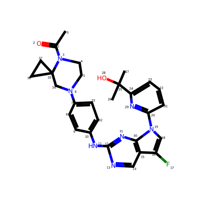 CC(=O)N1CCN(c2ccc(Nc3ncc4c(F)cn(-c5cccc(C(C)(C)O)n5)c4n3)cc2)CC12CC2